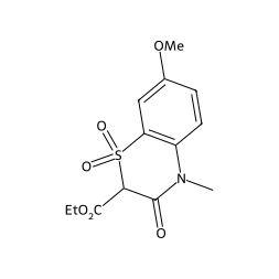 CCOC(=O)C1C(=O)N(C)c2ccc(OC)cc2S1(=O)=O